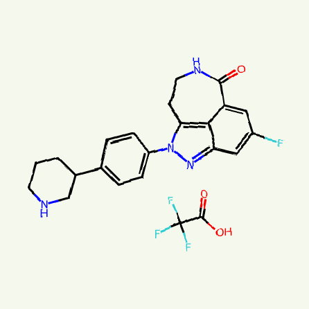 O=C(O)C(F)(F)F.O=C1NCCc2c3c1cc(F)cc3nn2-c1ccc(C2CCCNC2)cc1